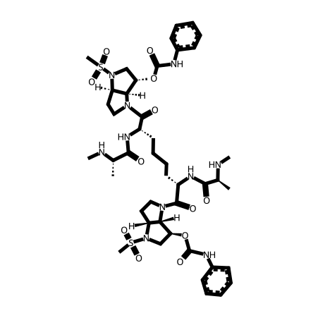 CN[C@@H](C)C(=O)N[C@@H](CCCC[C@H](NC(=O)[C@H](C)NC)C(=O)N1CC[C@@H]2[C@H]1[C@@H](OC(=O)Nc1ccccc1)CN2S(C)(=O)=O)C(=O)N1CC[C@@H]2[C@H]1[C@@H](OC(=O)Nc1ccccc1)CN2S(C)(=O)=O